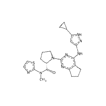 CN(C(=O)[C@@H]1CCCN1c1nc2c(c(Nc3cc(C4CC4)[nH]n3)n1)CCC2)c1nccs1